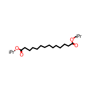 CC(C)OC(=O)CCCCCCCCCCCCC(=O)OC(C)C